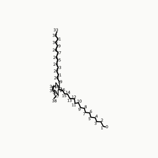 CCCCCCCCCCCCCCCCCc1n(CCCCCCCCCCCCCCC)cc[n+]1CC